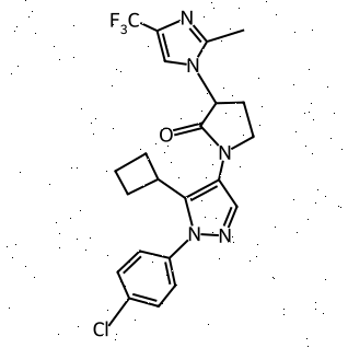 Cc1nc(C(F)(F)F)cn1C1CCN(c2cnn(-c3ccc(Cl)cc3)c2C2CCC2)C1=O